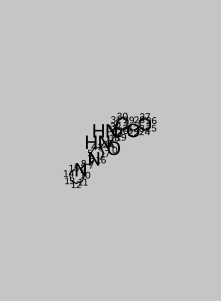 O=C(NC1CCN(CCN2CCCCCC2)CC1)c1cc2c(Oc3ccccc3)cccc2[nH]1